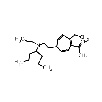 C=C(C)C1=C(CC)C=CC(CCN(CCC)C(CCC)CCC)C=C1